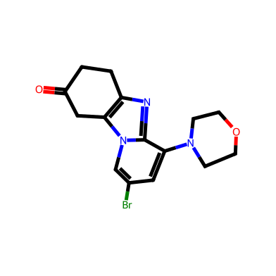 O=C1CCc2nc3c(N4CCOCC4)cc(Br)cn3c2C1